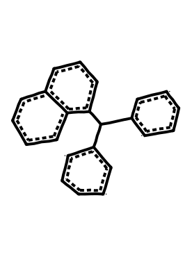 [c]1cc[c]c(C(c2[c]cc[c]c2)c2cccc3ccccc23)c1